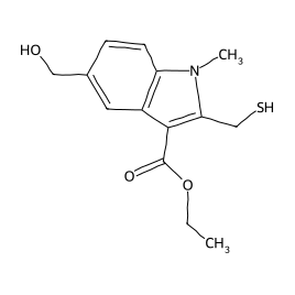 CCOC(=O)c1c(CS)n(C)c2ccc(CO)cc12